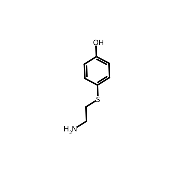 NCCSc1ccc(O)cc1